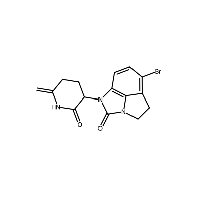 C=C1CCC(n2c(=O)n3c4c(c(Br)ccc42)CC3)C(=O)N1